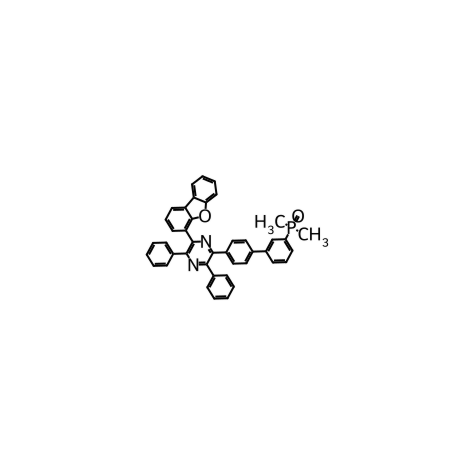 CP(C)(=O)c1cccc(-c2ccc(-c3nc(-c4cccc5c4oc4ccccc45)c(-c4ccccc4)nc3-c3ccccc3)cc2)c1